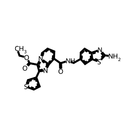 CCOC(=O)c1c(-c2ccsc2)nc2c(C(=O)NCc3ccc4nc(N)sc4c3)cccn12